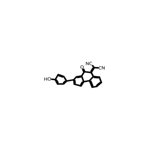 N#CC(C#N)=C1C(=O)c2cc(-c3ccc(O)cc3)ccc2-c2ccccc21